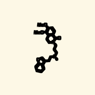 COc1ccc2c(c1OC)CCN(CCCN(C)CCc1coc3ccccc13)C2=O